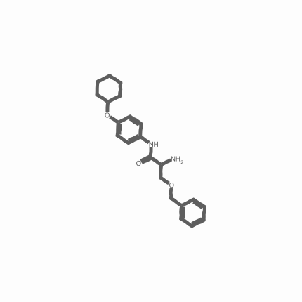 NC(COCc1ccccc1)C(=O)Nc1ccc(OC2CCCCC2)cc1